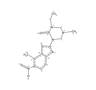 CCN1CN(C)CN(c2nc3ccc([N+](=O)[O-])c(C)c3s2)C1=O